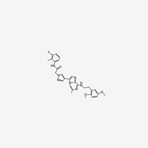 COc1ccc(OC)c(CCNc2nc(C)cn3c(-c4cnn(CC(=O)Nc5cccc(F)c5C)c4)cnc23)c1